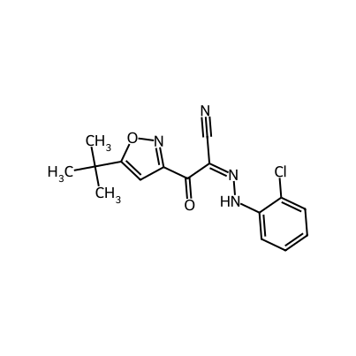 CC(C)(C)c1cc(C(=O)C(C#N)=NNc2ccccc2Cl)no1